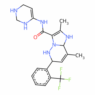 CC1=CC(c2ccccc2C(F)(F)F)NN2C(C(=O)NC3=CCNCN3)=C(C)NC12